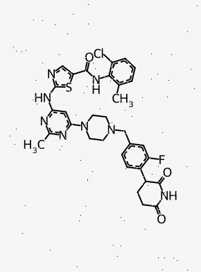 Cc1nc(Nc2ncc(C(=O)Nc3c(C)cccc3Cl)s2)cc(N2CCN(Cc3ccc(C4CCC(=O)NC4=O)c(F)c3)CC2)n1